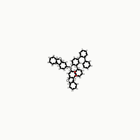 c1ccc(-c2ccccc2-c2ccc(N(c3ccc4c(c3)oc3ccccc34)c3ccc4c(c3)oc3ccccc34)c(-c3ccccc3)c2)cc1